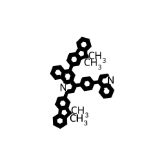 CC1(C)c2ccccc2-c2ccc(-c3cc(-c4ccc(-c5ccnc6ccccc56)cc4)c4cc(-c5ccc6c(c5)C(C)(C)c5ccccc5-6)c5ccccc5c4n3)cc21